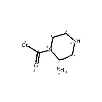 CCC(=O)N1CCNCC1.N